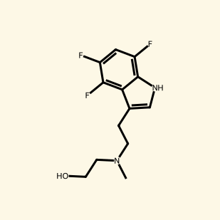 CN(CCO)CCc1c[nH]c2c(F)cc(F)c(F)c12